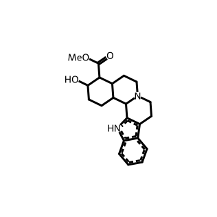 COC(=O)C1C(O)CCC2C1CCN1CCc3c([nH]c4ccccc34)C21